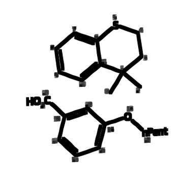 CC1(C)CCSc2ccccc21.CCCCCOc1cccc(C(=O)O)c1